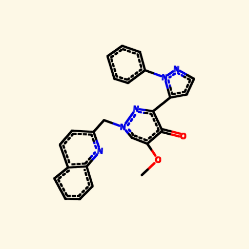 COc1cn(Cc2ccc3ccccc3n2)nc(-c2ccnn2-c2ccccc2)c1=O